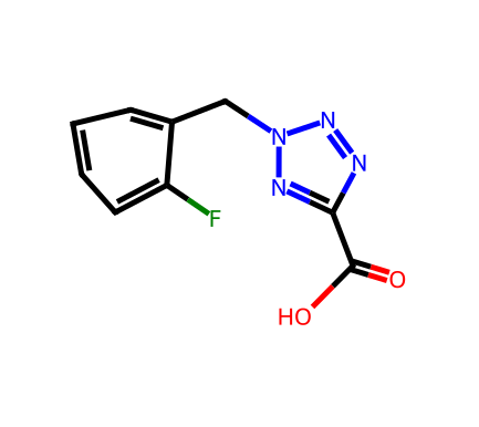 O=C(O)c1nnn(Cc2ccccc2F)n1